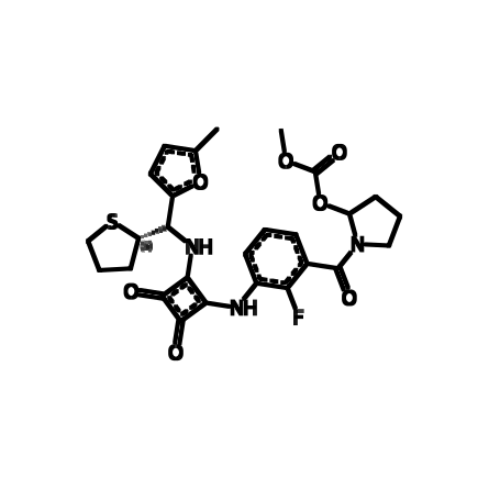 COC(=O)OC1CCCN1C(=O)c1cccc(Nc2c(NC(c3ccc(C)o3)[C@@H]3CCCS3)c(=O)c2=O)c1F